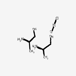 CC(N)CO.CC(N)CO.[Cl][Pt][Cl]